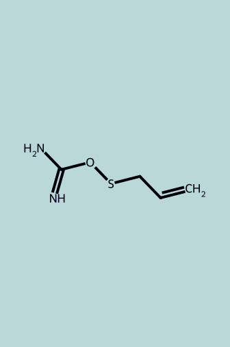 C=CCSOC(=N)N